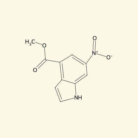 COC(=O)c1cc([N+](=O)[O-])cc2[nH]ccc12